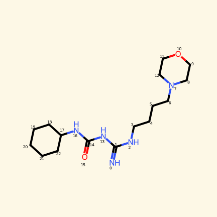 N=C(NCCCCN1CCOCC1)NC(=O)NC1CCCCC1